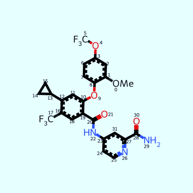 COc1cc(OC(F)(F)F)ccc1Oc1cc(C2CC2)c(C(F)(F)F)cc1C(=O)Nc1ccnc(C(N)=O)c1